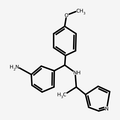 COc1ccc(C(NC(C)c2ccncc2)c2cccc(N)c2)cc1